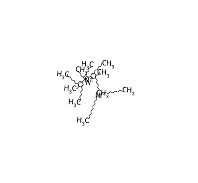 CCCCCCCCCC[CH2][Ni][CH2]CCCCCCCCCC.CCCCCCc1cc(C2=C(CCCC)C(CCCCC)=C(c3cc(CCCCCC)c(CC)c(CCCCCC)c3)[N+]2=[N-])cc(CCCCCC)c1CC